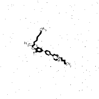 CCCCCC[C@@H](C)Oc1c(F)cc([C@H]2CC[C@H]([C@H]3CC[Si@H](CCCCC)CC3)CC2)cc1F